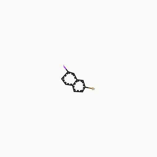 Brc1ccc2ccc(I)cc2c1